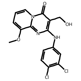 COc1cccn2c(=O)c(CO)c(Nc3ccc(Cl)c(Cl)c3)nc12